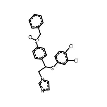 [O-][S+](Cc1ccccc1)c1ccc(C(Cn2ccnc2)Sc2ccc(Cl)c(Cl)c2)cc1